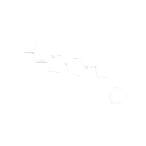 COC(=O)/C=C1\C=CC2(CC1)CCN(C(=O)OCc1ccccc1)CC2